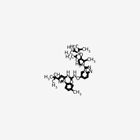 Cc1ccc(-n2nc(C(C)(C)C)cc2NC(=O)NOc2ccc3nnc(N4CCC(O[Si](C(C)C)(C(C)C)C(C)C)C4C)n3c2)cc1